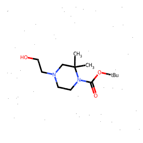 CC(C)(C)OC(=O)N1CCN(CCO)CC1(C)C